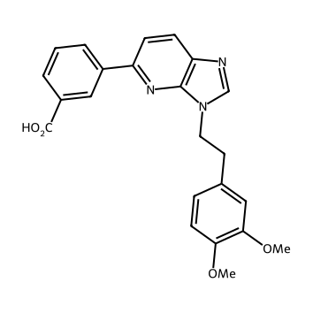 COc1ccc(CCn2cnc3ccc(-c4cccc(C(=O)O)c4)nc32)cc1OC